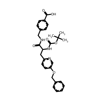 CC(C)(C)OC(=O)NC(Cc1ccc(OCc2ccccc2)cn1)C(=O)NCc1ccc(C(=O)O)cc1